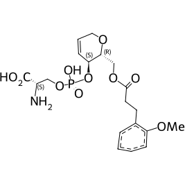 COc1ccccc1CCC(=O)OC[C@H]1OCC=C[C@@H]1OP(=O)(O)OC[C@H](N)C(=O)O